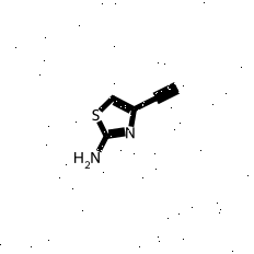 C#Cc1csc(N)n1